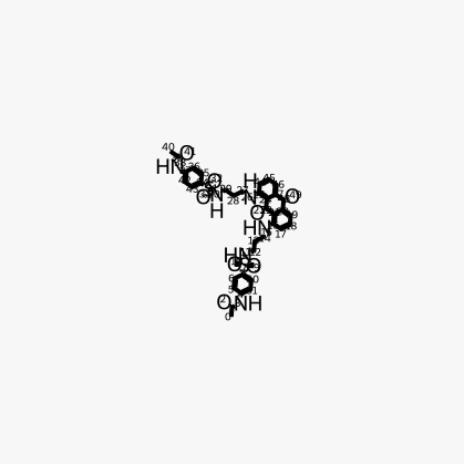 CC(=O)Nc1ccc(S(=O)(=O)NCCCNc2cccc3c2C(=O)c2c(NCCCNS(=O)(=O)c4ccc(NC(C)=O)cc4)cccc2C3=O)cc1